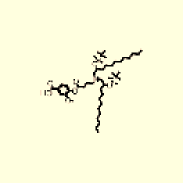 CCCCCCCCCCC(CN(CCCC(=O)Oc1ccc(C(=O)O)cc1OC)CC(CCCCCCCCCC)O[Si](C)(C)C(C)(C)C)O[Si](C)(C)C(C)(C)C